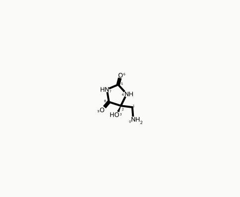 NC[C@@]1(O)NC(=O)NC1=O